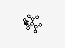 CC1(C)c2ccccc2-n2cc3c4ccccc4n(-c4cc(-c5cc(-c6ccccc6)cc(-c6ccccc6)c5)cc(-c5cc(-c6ccccc6)cc(-c6ccccc6)c5)c4)c3c21